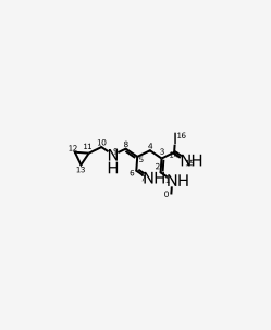 CN/C=C(/C/C(C=N)=C/NCC1CC1)C(=N)I